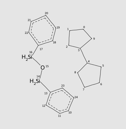 C1CCC(C2CCCC2)C1.c1ccc([SiH2]O[SiH2]c2ccccc2)cc1